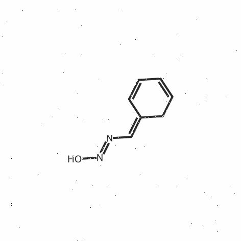 ON=NC=C1C=C[C]=CC1